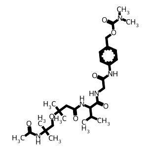 CC(=O)NC(C)(C)COC(C)(C)CC(=O)NC(C(=O)NCC(=O)Nc1ccc(COC(=O)N(C)C)cc1)C(C)C